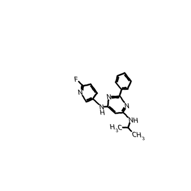 CC(C)Nc1cc(Nc2ccc(F)nc2)nc(-c2ccccc2)n1